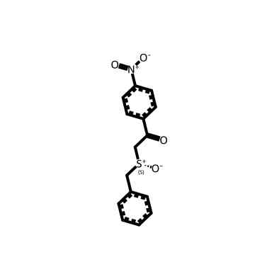 O=C(C[S@+]([O-])Cc1ccccc1)c1ccc([N+](=O)[O-])cc1